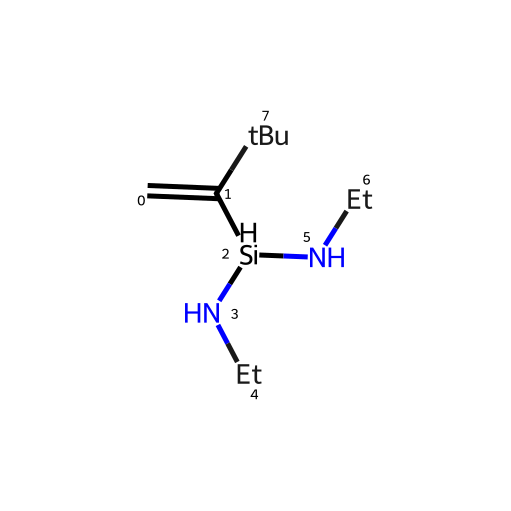 C=C([SiH](NCC)NCC)C(C)(C)C